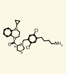 NCCCCc1cc(Cl)c(CN2CSC[C@H]2C(=O)N2CCN(C3CC3)c3ccccc32)cc1Cl